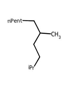 [CH2]CCCCCC(C)CCC(C)C